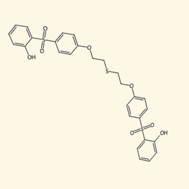 O=S(=O)(c1ccc(OCCSCCOc2ccc(S(=O)(=O)c3ccccc3O)cc2)cc1)c1ccccc1O